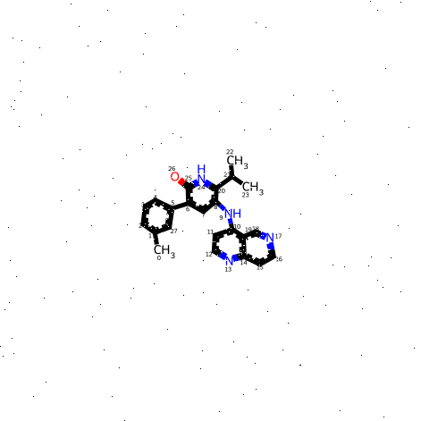 Cc1cccc(-c2cc(Nc3ccnc4ccncc34)c(C(C)C)[nH]c2=O)c1